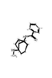 CNC12CCCC(NC(=O)c3cnccn3)(CC1)C2